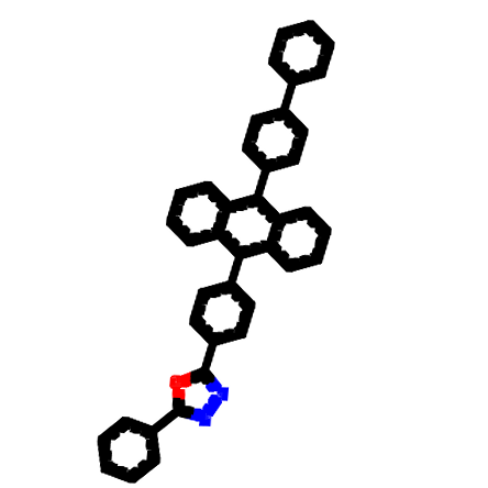 c1ccc(-c2ccc(-c3c4ccccc4c(-c4ccc(-c5nnc(-c6ccccc6)o5)cc4)c4ccccc34)cc2)cc1